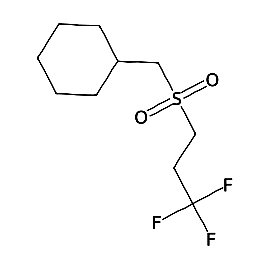 O=S(=O)(CCC(F)(F)F)CC1CCCCC1